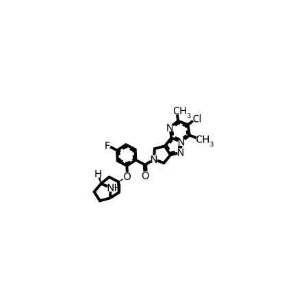 Cc1nc2c3c(nn2c(C)c1Cl)CN(C(=O)c1ccc(F)cc1O[C@@H]1CC2CC[C@H](C1)N2)C3